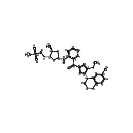 CCc1sc(C(=O)c2cncnc2N[C@@H]2C[C@H](COS(N)(=O)=O)[C@@H](O)C2)cc1[C@H]1OCCc2ccc(Cl)cc21